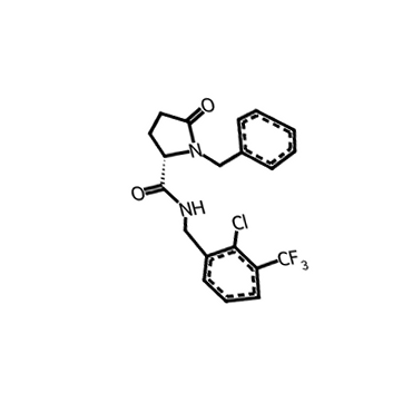 O=C(NCc1cccc(C(F)(F)F)c1Cl)[C@@H]1CCC(=O)N1Cc1ccccc1